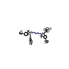 COOOSCC[N+]1=C(/C=C/C=C/C=C/C=C2/N(CCS(=O)(=O)O)c3ccc(-c4cccs4)cc3C2(C)C)C(C)(C)c2cc(-c3cccs3)ccc21